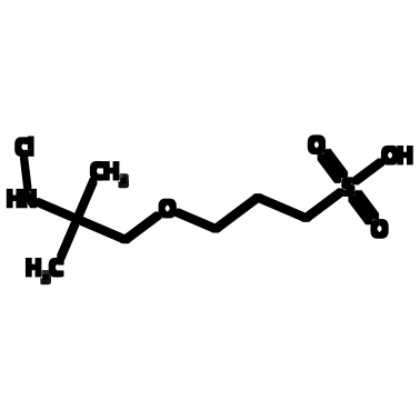 CC(C)(COCCCS(=O)(=O)O)NCl